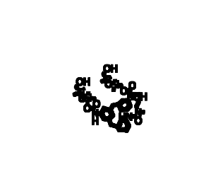 CN(CCO)C(=O)Nc1cccc(Cc2cc(Cc3cccc(NC(=O)OC[Si](C)(C)O[Si](C)(C)CO)c3)cc(NC(=O)OC[Si](C)(C)O[Si](C)(C)CO)c2)c1